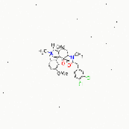 COc1ccc2c3c1O[C@H]1[C@H](N(C)C(=O)Cc4ccc(Cl)c(Cl)c4)CC[C@@]4(OC(C)=O)[C@@H](C2)N(C)CC[C@]314